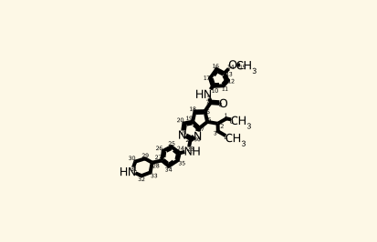 CCC(CC)C1C(C(=O)Nc2ccc(OC)cc2)=Cc2cnc(Nc3ccc(C4CCNCC4)cc3)nc21